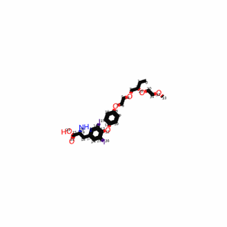 CCC(COCCOc1ccc(Oc2c(I)cc(CC(N)C(=O)O)cc2I)cc1)OCCOC